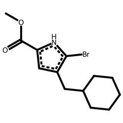 COC(=O)c1cc(CC2CCCCC2)c(Br)[nH]1